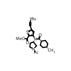 COC(=O)c1sc(C#CC(C)(C)C)cc1N(C(=O)[C@H]1CC[C@H](C)CC1)[C@H]1CCN(C(C)=O)C1